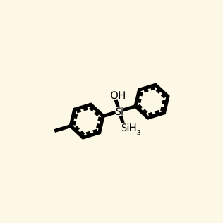 Cc1ccc([Si](O)([SiH3])c2ccccc2)cc1